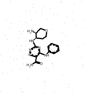 NC(=O)c1nnc(N[C@@H]2CCOC[C@@H]2N)nc1Nc1ccccc1